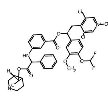 COc1cc([C@H](Cc2c(Cl)c[n+]([O-])cc2Cl)OC(=O)c2cccc(NC(C(=O)O[C@H]3CN4CCC3CC4)c3ccccc3)c2)ccc1OC(F)F